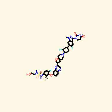 CN(CCO)S(=O)(=O)Nc1ccc(F)c(Oc2ccc3ncc([C@H]4COC5(CCN(C6CCC(c7cc8c(cc7F)c(N7CCC(=O)NC7=O)nn8C)CC6F)CC5)C4)nc3c2)c1C#N